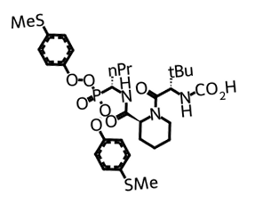 CCC[C@H](NC(=O)[C@@H]1CCCCN1C(=O)[C@@H](NC(=O)O)C(C)(C)C)P(=O)(OOc1ccc(SC)cc1)OOc1ccc(SC)cc1